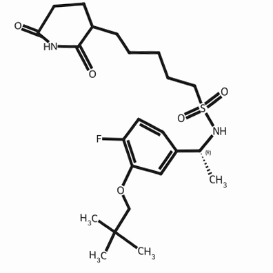 C[C@@H](NS(=O)(=O)CCCCCC1CCC(=O)NC1=O)c1ccc(F)c(OCC(C)(C)C)c1